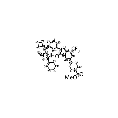 COC(=O)N1CCC(c2cc(C(F)(F)F)c3cn(-c4cccc([C@@H](C5CCC5)C5NN(C6CCCCC6)CN5C)c4)c(=O)n3c2)CC1